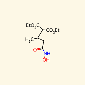 CCOC(=O)C(C(=O)OCC)C(C)CC(=O)NO